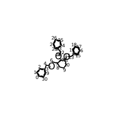 c1ccc(COCC2CCCC(OCc3ccccc3)[C@H]2OCc2ccccc2)cc1